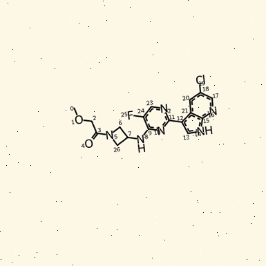 COCC(=O)N1CC(Nc2nc(-c3c[nH]c4ncc(Cl)cc34)ncc2F)C1